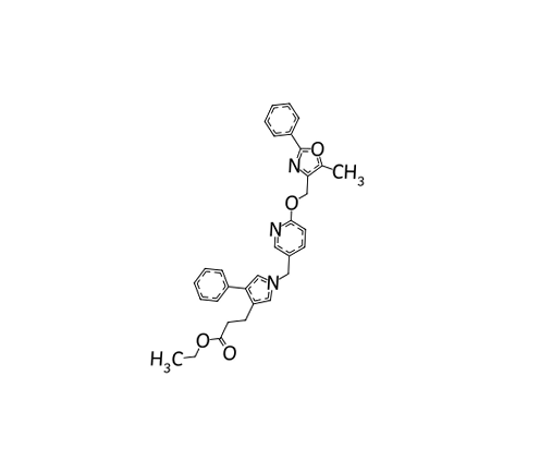 CCOC(=O)CCc1cn(Cc2ccc(OCc3nc(-c4ccccc4)oc3C)nc2)cc1-c1ccccc1